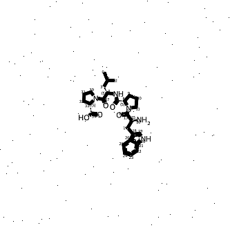 CC(C)C[C@H](NC(=O)[C@@H]1CCCN1C(=O)[C@@H](N)Cc1c[nH]c2ccccc12)C(=O)N1CCC[C@H]1C(=O)O